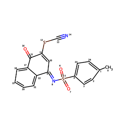 Cc1ccc(S(=O)(=O)/N=C2\C=C(SC#N)C(=O)c3ccccc32)cc1